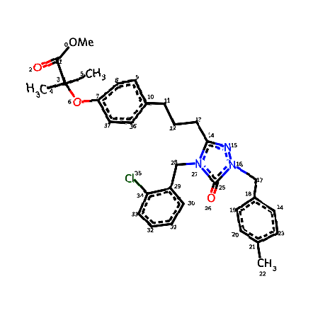 COC(=O)C(C)(C)Oc1ccc(CCCc2nn(Cc3ccc(C)cc3)c(=O)n2Cc2ccccc2Cl)cc1